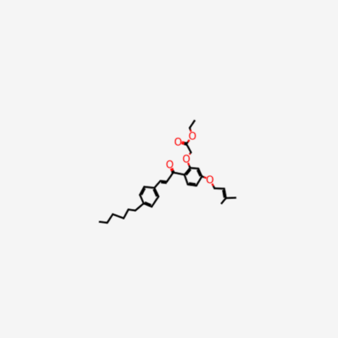 CCCCCCc1ccc(/C=C/C(=O)c2ccc(OCC=C(C)C)cc2OCC(=O)OCC)cc1